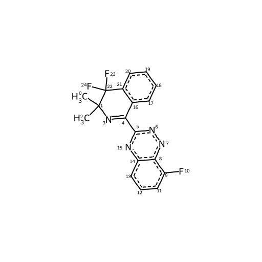 CC1(C)N=C(c2nnc3c(F)cccc3n2)c2ccccc2C1(F)F